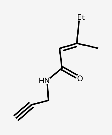 C#CCNC(=O)/C=C(\C)CC